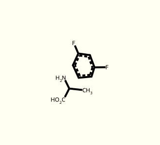 CC(N)C(=O)O.Fc1cccc(F)c1